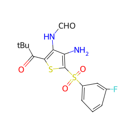 CC(C)(C)C(=O)c1sc(S(=O)(=O)c2cccc(F)c2)c(N)c1NC=O